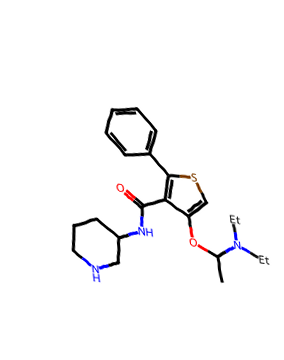 CCN(CC)C(C)Oc1csc(-c2ccccc2)c1C(=O)NC1CCCNC1